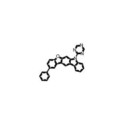 c1ccc(-c2ccc3oc4cc5c(cc4c3c2)c2ccccc2n5-c2ncncn2)cc1